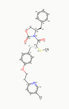 CCc1ccc(CCOc2ccc(C[C@@H](SC#N)C(=O)N3C(=O)OC[C@H]3Cc3ccccc3)cc2)nc1